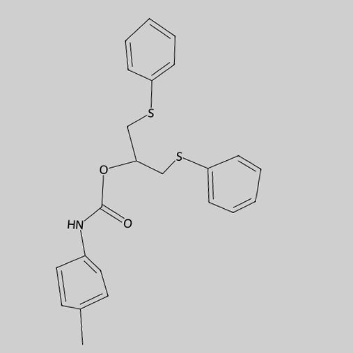 Cc1ccc(NC(=O)OC(CSc2ccccc2)CSc2ccccc2)cc1